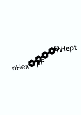 CCCCCCCOc1ccc(-c2ccc(-c3ccc(-c4ccc(CCCCCC)cc4)c(F)c3F)cc2)cc1